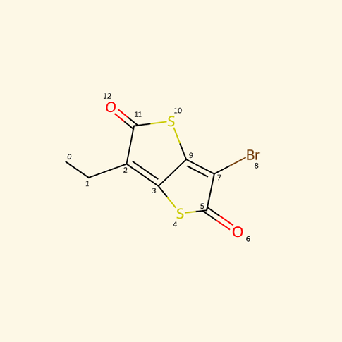 CCC1=C2SC(=O)C(Br)=C2SC1=O